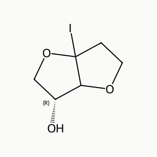 O[C@@H]1COC2(I)CCOC12